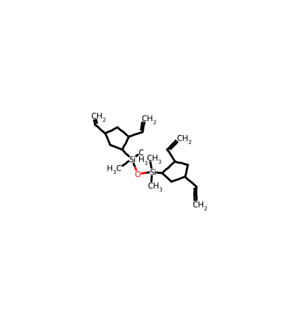 C=CC1CC(C=C)C([Si](C)(C)O[Si](C)(C)C2CC(C=C)CC2C=C)C1